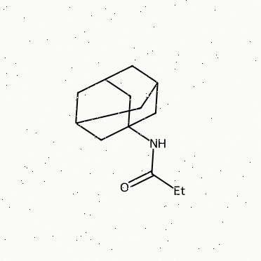 CCC(=O)NC12CC3CC(CC(C3)C1)C2